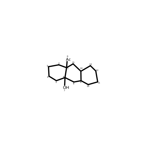 CC(=O)C12CCCCC1(O)CC1CCCCC1C2